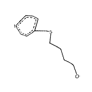 [O]CCCCSc1ccncc1